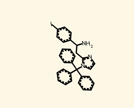 NC(Cc1nccn1C(c1ccccc1)(c1ccccc1)c1ccccc1)c1ccc(I)cc1